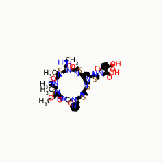 CNC(=O)C[C@@H]1NC(=O)c2csc(n2)-c2ccc(-c3nc(N(CCC(=O)O)C(=O)[C@@H]4CC[C@@H](C(=O)O)C4)cs3)nc2-c2csc(n2)-c2csc(n2)[C@H](Cc2ccccc2)NC(=O)CNC(=O)c2nc(sc2COC)C(C(C)C)NC(=O)c2nc1sc2C